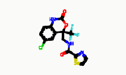 O=C1Nc2ccc(Cl)cc2C(CNC(=O)c2nccs2)(C(F)(F)F)O1